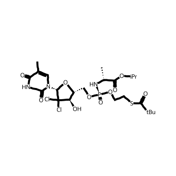 Cc1cn([C@@H]2O[C@H](CO[P@](=O)(N[C@H](C)C(=O)OC(C)C)OCCSC(=O)C(C)(C)C)[C@@H](O)C2(Cl)Cl)c(=O)[nH]c1=O